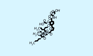 CCCCC[C@@H](C(=O)NCNC(=O)c1ccc(-c2ccc(C(=O)N[C@@H](CC(=O)O)C(=O)O)c(OCC(=O)O)c2)o1)[C@@H](CC)N(C=O)OC(=O)C(CCC)CCC